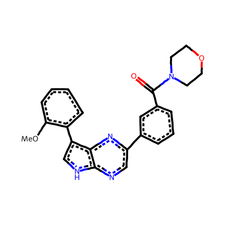 COc1ccccc1-c1c[nH]c2ncc(-c3cccc(C(=O)N4CCOCC4)c3)nc12